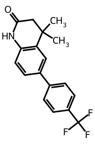 CC1(C)CC(=O)Nc2ccc(-c3ccc(C(F)(F)F)cc3)cc21